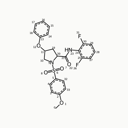 COc1ccc(S(=O)(=O)N2CC(Oc3ccccc3)CC2C(=O)Nc2c(F)cccc2F)cc1